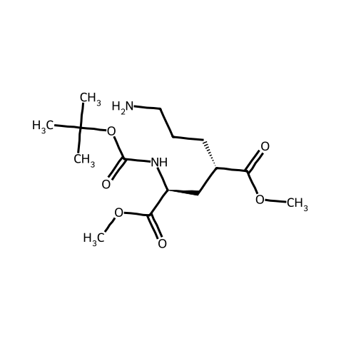 COC(=O)[C@@H](CCCN)C[C@H](NC(=O)OC(C)(C)C)C(=O)OC